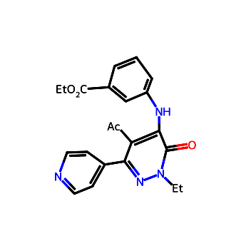 CCOC(=O)c1cccc(Nc2c(C(C)=O)c(-c3ccncc3)nn(CC)c2=O)c1